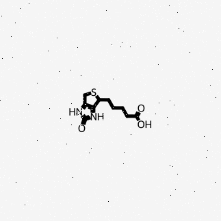 O=C(O)CCCCC1SCc2[nH]c(=O)[nH]c21